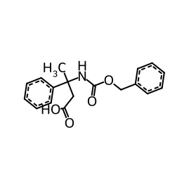 CC(CC(=O)O)(NC(=O)OCc1ccccc1)c1ccccc1